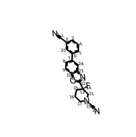 N#Cc1cccc(-c2ccc3oc([C@@]4(F)CCCN(C#N)C4)nc3c2)c1